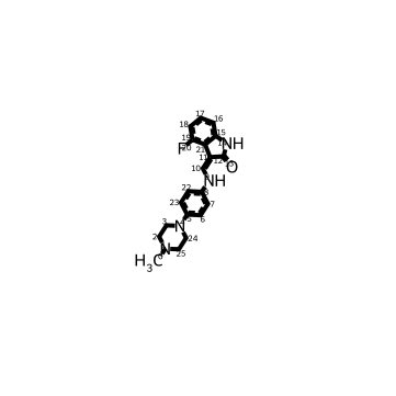 CN1CCN(c2ccc(NC=C3C(=O)Nc4cccc(F)c43)cc2)CC1